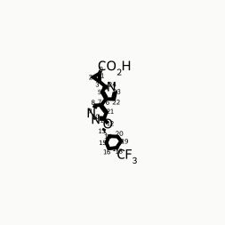 O=C(O)C1CC1c1cc(-c2cnnc(OC[C@H]3CC[C@H](C(F)(F)F)CC3)c2)ccn1